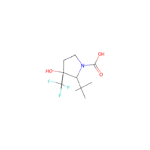 CC(C)(C)C1N(C(=O)O)CCC1(O)C(F)(F)F